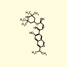 CC(C)c1cc2cc(O)c(C(=N)/C=C\C(=N)OC3CC(C)(C)NC(C)(C)C3)cc2cn1